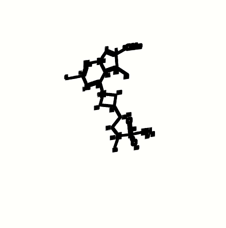 COc1cn2nc(C)nc(N3CC(CCN(C)S(N)(=O)=O)C3)c2c1C